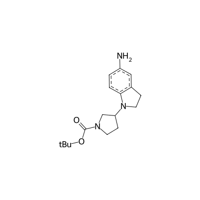 CC(C)(C)OC(=O)N1CCC(N2CCc3cc(N)ccc32)C1